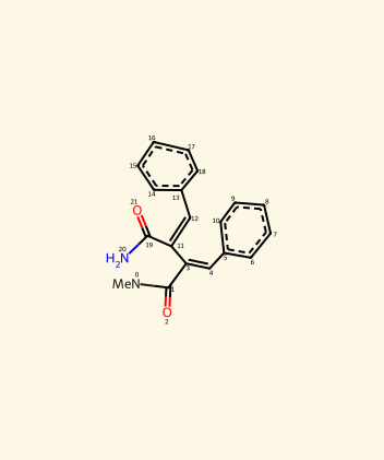 CNC(=O)C(=Cc1ccccc1)C(=Cc1ccccc1)C(N)=O